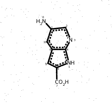 Nc1cnc2[nH]c(C(=O)O)cc2c1